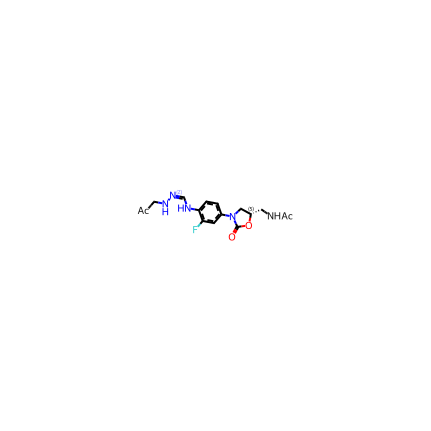 CC(=O)CN/N=C\Nc1ccc(N2C[C@H](CNC(C)=O)OC2=O)cc1F